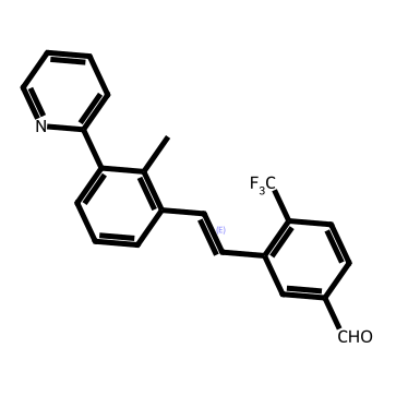 Cc1c(/C=C/c2cc(C=O)ccc2C(F)(F)F)cccc1-c1ccccn1